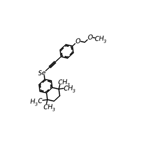 COCOc1ccc(C#C[Se]c2ccc3c(c2)C(C)(C)CCC3(C)C)cc1